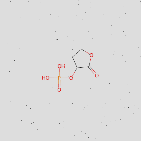 O=C1OCCC1OP(=O)(O)O